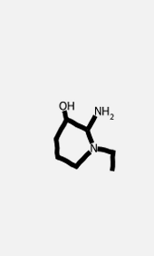 CCN1CCCC(O)C1N